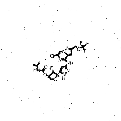 CC(C)NC(=O)O[C@H]1CO[C@@H](c2cc(Nc3nc(Cl)cn4nc(COC(F)(F)F)cc34)n[nH]2)[C@H]1F